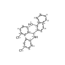 Oc1c(C(Nc2ccc(Cl)cn2)c2cccc(Cl)c2)ccc2cccnc12